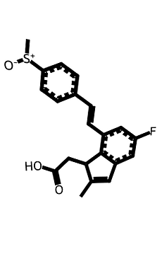 CC1=Cc2cc(F)cc(/C=C/c3ccc([S+](C)[O-])cc3)c2C1CC(=O)O